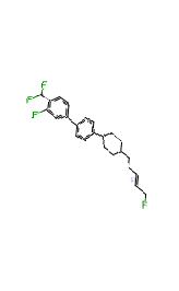 FC/C=C/CCC1CCC(c2ccc(-c3ccc(C(F)F)c(F)c3)cc2)CC1